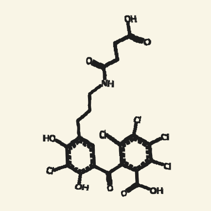 O=C(O)CCC(=O)NCCCc1cc(C(=O)c2c(Cl)c(Cl)c(Cl)c(Cl)c2C(=O)O)c(O)c(Cl)c1O